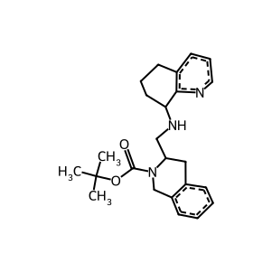 CC(C)(C)OC(=O)N1Cc2ccccc2CC1CNC1CCCc2cccnc21